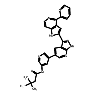 CC(C)(C)CC(=O)Nc1cncc(-c2cnc3[nH]nc(-c4cc5c(-c6ccccn6)nccc5[nH]4)c3c2)c1